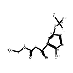 CCOC(=O)CC(=N)c1cc(OC(F)(F)F)ccc1O